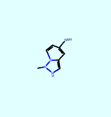 CNC1=CC2=CNN(C)N2C=C1